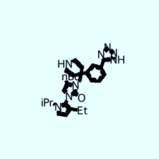 CCCCc1cn(-c2c(CC)ccn2C(C)C)c(=O)n1CC1(c2cccc(-c3nnn[nH]3)c2)C=CNC=C1